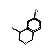 CC(C)c1ccc2c(c1)C(C(C)C)COC2